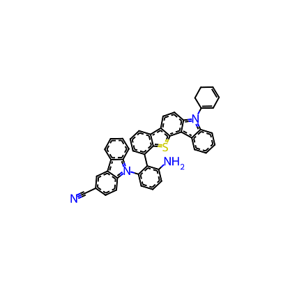 N#Cc1ccc2c(c1)c1ccccc1n2-c1cccc(N)c1-c1cccc2c1sc1c2ccc2c1c1ccccc1n2C1=CC=CCC1